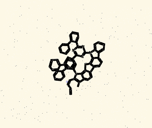 C=C/C=C\c1c(C)c2ccc3c4ccc5c6ccccc6n(-c6nc(-c7ccc(-c8ccccc8)cc7)nc(-c7ccccc7-c7ccccc7)n6)c5c4sc3c2n1-c1cccc(-c2ccccc2)c1